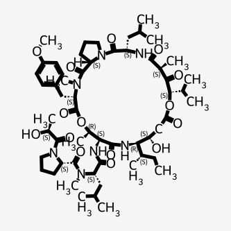 CC[C@H](C)[C@H]1NC(=O)[C@@H](NC(=O)[C@H](CC(C)C)N(C)C(=O)[C@@H]2CCCN2C(=O)[C@H](C)O)[C@@H](C)OC(=O)[C@H](Cc2ccc(OC)cc2)N(C)C(=O)[C@@H]2CCCN2C(=O)[C@H](CC(C)C)NC(=O)[C@@H](C)C(=O)[C@H](C(C)C)OC(=O)C[C@@H]1O